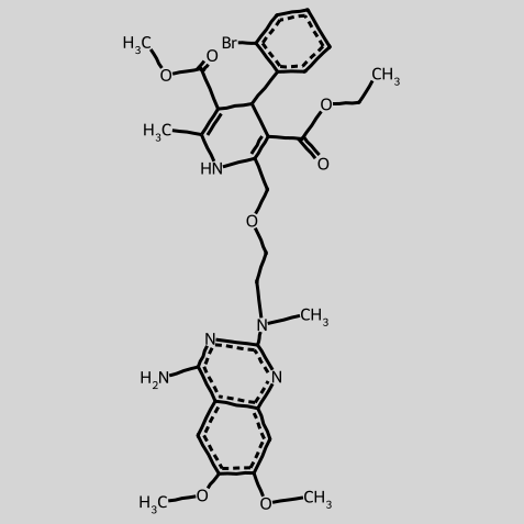 CCOC(=O)C1=C(COCCN(C)c2nc(N)c3cc(OC)c(OC)cc3n2)NC(C)=C(C(=O)OC)C1c1ccccc1Br